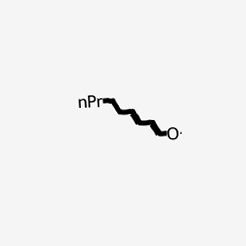 CCCCC/C=C/C=C/[O]